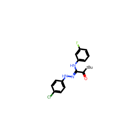 CC(C)(C)C(=O)/C(=N/Nc1ccc(Cl)cc1)Nc1cccc(F)c1